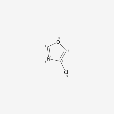 Clc1cocn1